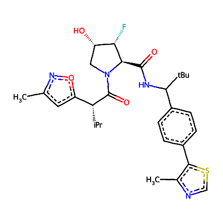 Cc1cc([C@H](C(=O)N2C[C@H](O)[C@H](F)[C@H]2C(=O)NC(c2ccc(-c3scnc3C)cc2)C(C)(C)C)C(C)C)on1